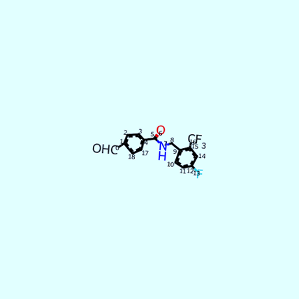 O=Cc1ccc(C(=O)NCc2ccc(F)cc2C(F)(F)F)cc1